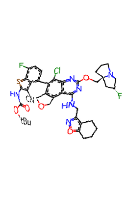 CC(C)(C)OC(=O)Nc1sc2c(F)ccc(-c3c4c(c5c(NCc6noc7c6CCCC7)nc(OC[C@@]67CCCN6C[C@H](F)C7)nc5c3Cl)COC4)c2c1C#N